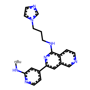 CCCCNc1cc(-c2cc3cnccc3c(NCCCn3ccnc3)n2)ccn1